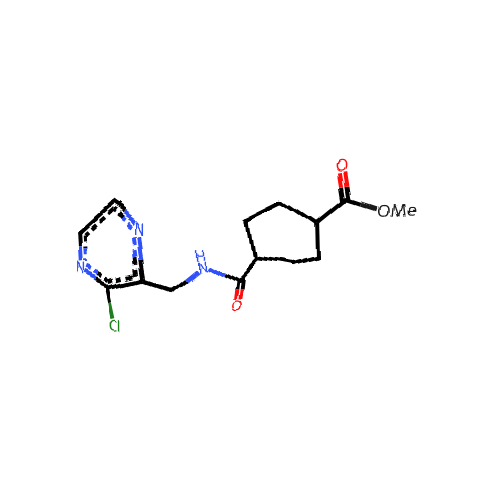 COC(=O)C1CCC(C(=O)NCc2nccnc2Cl)CC1